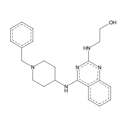 OCCNc1nc(NC2CCN(Cc3ccccc3)CC2)c2ccccc2n1